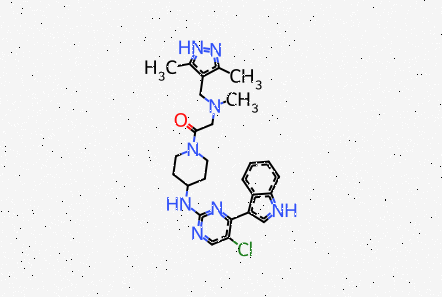 Cc1n[nH]c(C)c1CN(C)CC(=O)N1CCC(Nc2ncc(Cl)c(-c3c[nH]c4ccccc34)n2)CC1